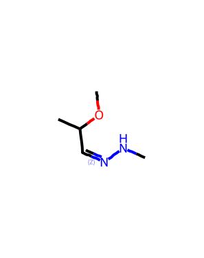 CN/N=C\C(C)OC